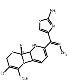 CCC1=C(C(=O)O)N2C3=CC=C(/C(=N\C)c4csc(N)n4)NC3[C@H]2SC1